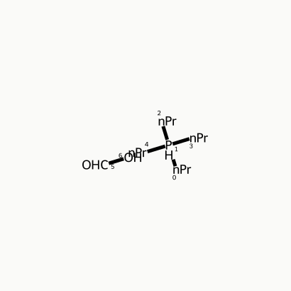 CCC[PH](CCC)(CCC)CCC.O=CO